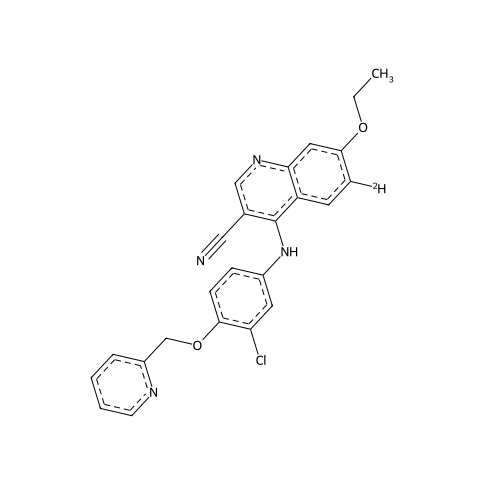 [2H]c1cc2c(Nc3ccc(OCc4ccccn4)c(Cl)c3)c(C#N)cnc2cc1OCC